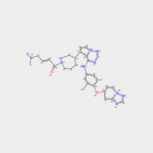 Cc1cc(Nc2ncnn3ccc(C4CCCN(C(=O)/C=C/CN(C)C)CC4)c23)ccc1Oc1ccn2ncnc2c1